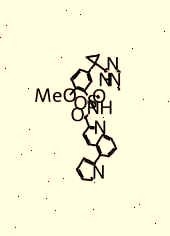 COc1ccc(C2(c3ncn(C)n3)CC2)cc1S(=O)(=O)NC(=O)c1ccc2c(-c3ccccn3)cccc2n1